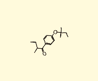 CCC(C)C(=O)c1ccc(OC(C)(C)CC)cc1